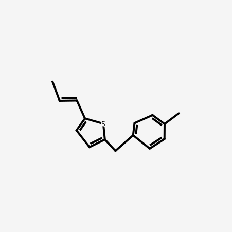 C/C=C/c1ccc(Cc2ccc(C)cc2)s1